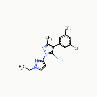 Nc1c(-c2cc(Cl)cc(C(F)(F)F)c2)c(C(F)(F)F)nn1-c1ccn(CC(F)(F)F)n1